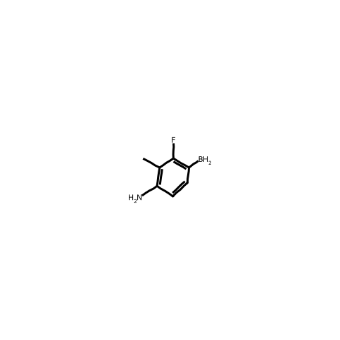 Bc1ccc(N)c(C)c1F